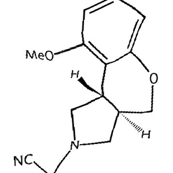 COc1cccc2c1[C@H]1CN(CC#N)C[C@@H]1CO2